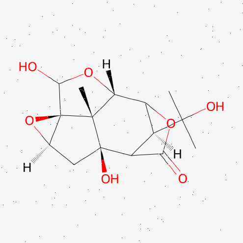 CC(C)(O)[C@@H]1C2OC(=O)C1[C@]1(O)C[C@H]3O[C@]34C(O)O[C@H]2[C@]14C